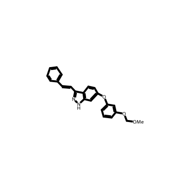 COCOc1cccc(Oc2ccc3c(C=Cc4ccccc4)n[nH]c3c2)c1